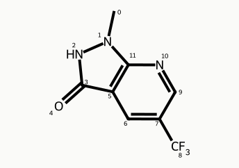 Cn1[nH]c(=O)c2cc(C(F)(F)F)cnc21